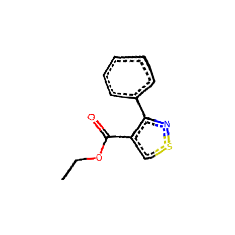 CCOC(=O)c1csnc1-c1ccccc1